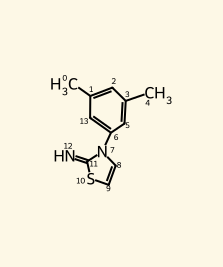 Cc1cc(C)cc(-n2ccsc2=N)c1